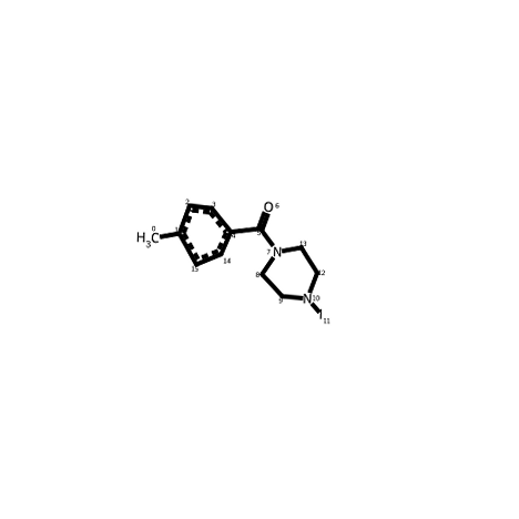 Cc1ccc(C(=O)N2CCN(I)CC2)cc1